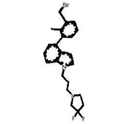 Cc1c(CBr)cccc1-c1cccc2c1ccn2CCCN1CCC(F)(F)C1